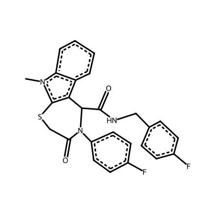 Cn1c2c(c3ccccc31)C(C(=O)NCc1ccc(F)cc1)N(c1ccc(F)cc1)C(=O)CS2